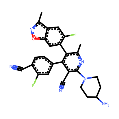 Cc1nc(N2CCC(N)CC2)c(C#N)c(-c2ccc(C#N)c(F)c2)c1-c1cc2onc(C)c2cc1F